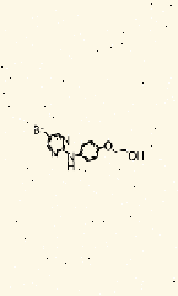 OCCOc1ccc(Nc2ncc(Br)cn2)cc1